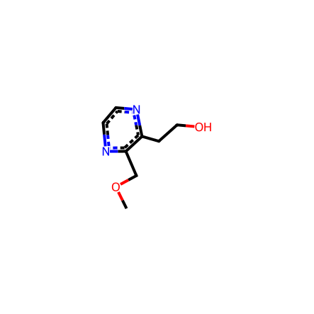 COCc1nccnc1CCO